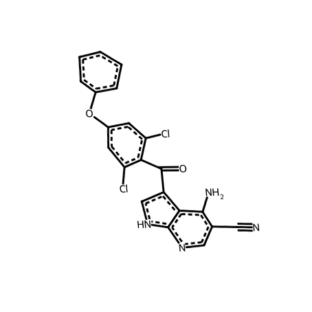 N#Cc1cnc2[nH]cc(C(=O)c3c(Cl)cc(Oc4ccccc4)cc3Cl)c2c1N